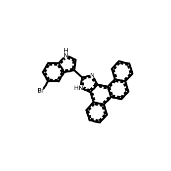 Brc1ccc2[nH]cc(-c3nc4c([nH]3)c3ccccc3c3ccc5ccccc5c34)c2c1